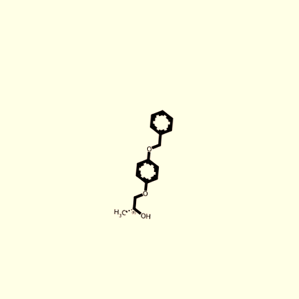 C[C@@H](O)COc1ccc(OCc2ccccc2)cc1